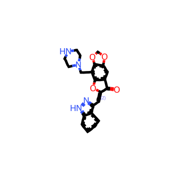 O=C1/C(=C/c2n[nH]c3ccccc23)Oc2c1cc1c(c2CN2CCNCC2)OCO1